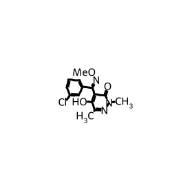 CO/N=C(\c1cccc(Cl)c1)c1c(O)c(C)nn(C)c1=O